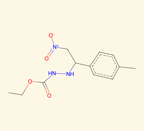 CCOC(=O)NNC(C[N+](=O)[O-])c1ccc(C)cc1